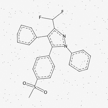 CS(=O)(=O)c1ccc(-c2c(-c3ccccc3)c(C(F)F)nn2-c2ccccc2)cc1